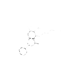 O=C(O)CCCOc1c(O)c(O)cc2oc(-c3ccccc3)cc(=O)c12